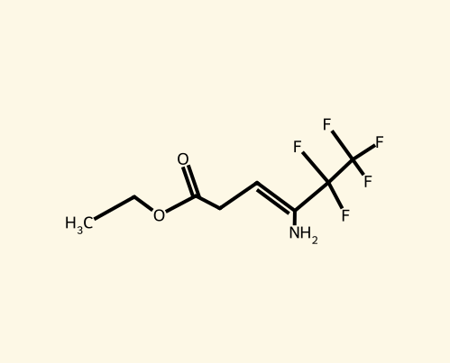 CCOC(=O)C/C=C(\N)C(F)(F)C(F)(F)F